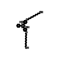 OCCCCCCCCCCCOc1ccc(-c2nc(-c3ccccc3)nc(-c3ccc(OCCCCCCCCCCCO)cc3O)n2)c(O)c1